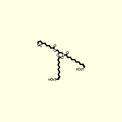 CCCCCCCC/C=C\CCCCCCCC(=O)OCC(COC(=O)CCCCC1CCSS1)OC(=O)CCCCCCC/C=C\CCCCCCCC